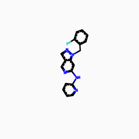 Fc1ccccc1Cn1ncc2cnc(Nc3ccccn3)cc21